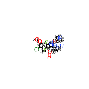 COCOc1cc(Cl)c(C2CC2)c(-c2c(F)cc3c(C4C(O)CC45CCCNC5)nc(OCC45CCCN4CCC5)nc3c2F)c1